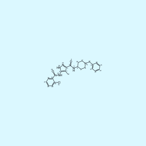 Cc1c(C(=O)NC2CCN(Cc3ccccc3)CC2)n[nH]c1NC(=O)c1ccccc1Cl